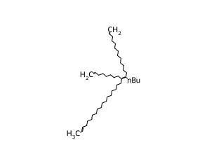 C=CCCCCCCCCCCCC(CCCC)=C(CCCCCCC=C)CCCCCCCCCCCCCCCC=CC